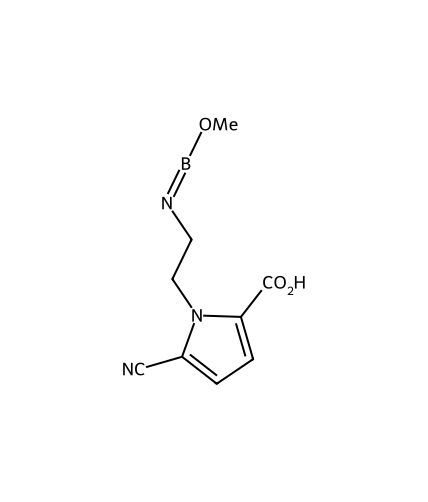 COB=NCCn1c(C#N)ccc1C(=O)O